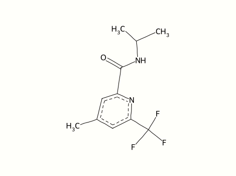 Cc1cc(C(=O)NC(C)C)nc(C(F)(F)F)c1